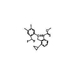 COC(=S)Nc1cccc(C2CC2)c1COc1cc(C)c(C)cc1C(F)F